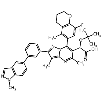 Cc1nc2c(C)c(-c3cccc(-c4ccc5c(cnn5C)c4)c3)nn2c(-c2cc(F)c3c(c2C)CCCO3)c1C(OC(C)(C)C)C(=O)O